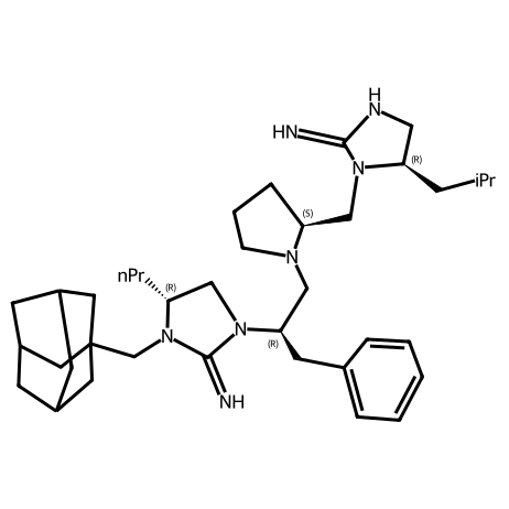 CCC[C@@H]1CN([C@H](Cc2ccccc2)CN2CCC[C@H]2CN2C(=N)NC[C@H]2CC(C)C)C(=N)N1CC12CC3CC(CC(C3)C1)C2